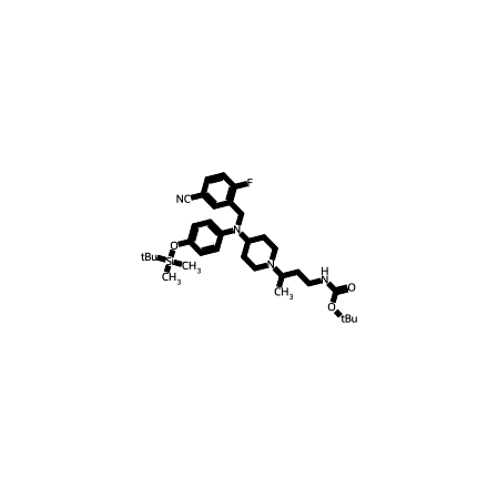 CC(CCNC(=O)OC(C)(C)C)N1CCC(N(Cc2cc(C#N)ccc2F)c2ccc(O[Si](C)(C)C(C)(C)C)cc2)CC1